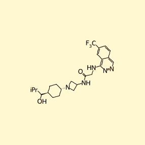 CC(C)C(O)[C@H]1CC[C@H](N2CC(NC(=O)CNc3nncc4ccc(C(F)(F)F)cc34)C2)CC1